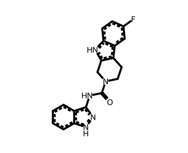 O=C(Nc1n[nH]c2ccccc12)N1CCc2c([nH]c3ccc(F)cc23)C1